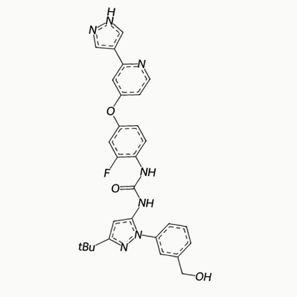 CC(C)(C)c1cc(NC(=O)Nc2ccc(Oc3ccnc(-c4cn[nH]c4)c3)cc2F)n(-c2cccc(CO)c2)n1